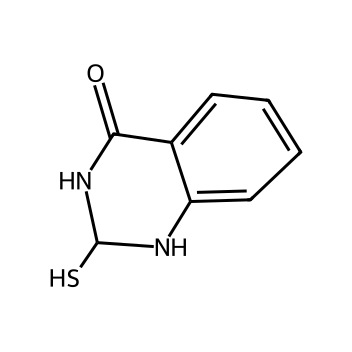 O=C1NC(S)Nc2ccccc21